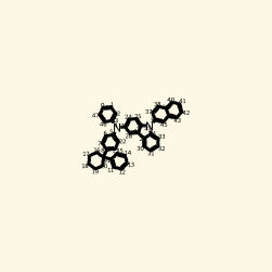 c1ccc(N(c2ccc(C3(c4ccccc4)CCCCC3)cc2)c2ccc3c(c2)c2ccccc2n3-c2ccc3ccccc3c2)cc1